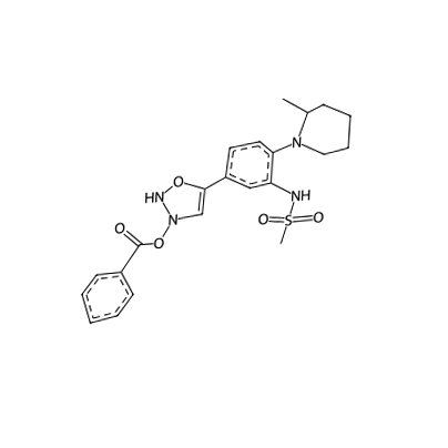 CC1CCCCN1c1ccc(C2=CN(OC(=O)c3ccccc3)NO2)cc1NS(C)(=O)=O